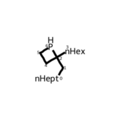 CCCCCCCCC1(CCCCCC)CCP1